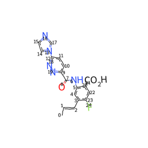 C/C=C/c1cc(NC(=O)c2ccc(-n3ccnc3)nn2)c(C(=O)O)cc1F